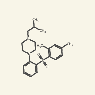 C[C](C)CN1CCN(c2ccccc2S(=O)(=O)c2ccc(C)cc2C)CC1